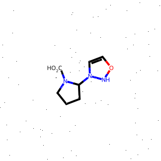 O=C(O)N1CCCC1N1C=CON1